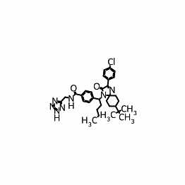 CCCCC(c1ccc(C(=O)NCc2nn[nH]n2)cc1)N1C(=O)C(c2ccc(Cl)cc2)=NC12CCC(C(C)(C)C)CC2